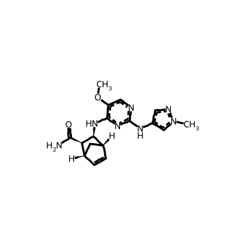 COc1cnc(Nc2cnn(C)c2)nc1N[C@@H]1[C@H](C(N)=O)[C@H]2C=C[C@@H]1C2